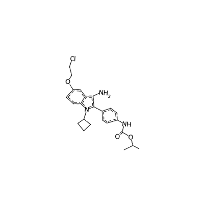 CC(C)OC(=O)Nc1ccc(-c2c(N)c3cc(OCCCl)ccc3n2C2CCC2)cc1